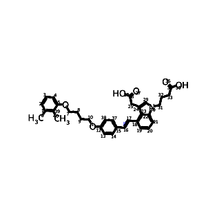 Cc1cccc(OCCCCOc2ccc(/C=C/c3cccc4c3c(CC(=O)O)cn4CCCC(=O)O)cc2)c1C